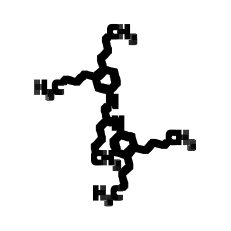 CCCCC(C=Nc1ccc(CCCC)c(CCCC)c1)=Nc1ccc(CCCC)c(CCCC)c1